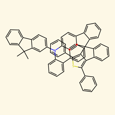 CC1(C)c2ccccc2-c2ccc(N(c3ccc4c(c3)C3(c5ccccc5-4)c4ccccc4-c4c(-c5ccccc5)sc(-c5ccccc5)c43)c3ccccc3-c3ccccc3)cc21